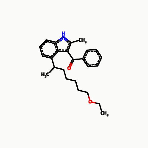 CCOCCCCCC(C)c1cccc2[nH]c(C)c(C(=O)c3ccccc3)c12